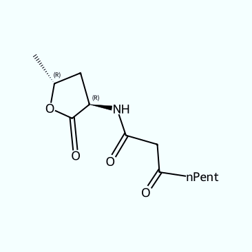 CCCCCC(=O)CC(=O)N[C@@H]1C[C@@H](C)OC1=O